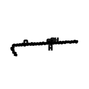 CCCCC/C=C\C/C=C\CCCCCCCC(=O)CCCCCCCCCCCCCCCC(=O)NC(CO)CCCCCCCCCCCCCCCCCC